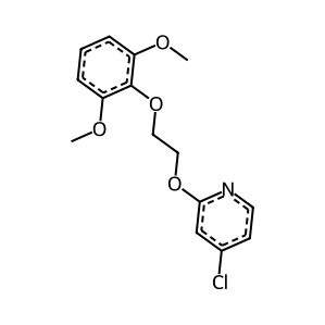 COc1cccc(OC)c1OCCOc1cc(Cl)ccn1